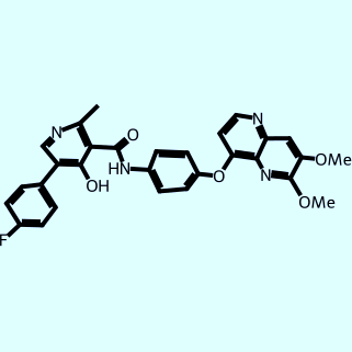 COc1cc2nccc(Oc3ccc(NC(=O)c4c(C)ncc(-c5ccc(F)cc5)c4O)cc3)c2nc1OC